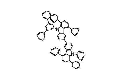 c1ccc(-c2cc(-c3ccccc3)cc(-n3c4ccc(-c5ccc6c(c5)c5c(-c7ccccc7)ccc(-c7ccccc7)c5n6-c5ccccc5)cc4c4c(-c5ccccc5)ccc(-c5ccccc5)c43)c2)cc1